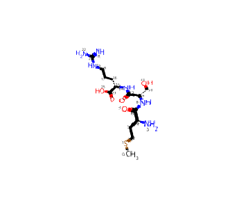 CSCC[C@H](N)C(=O)N[C@@H](CO)C(=O)N[C@@H](CCCNC(=N)N)C(=O)O